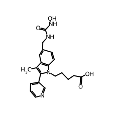 Cc1c(-c2cccnc2)n(CCCCC(=O)O)c2ccc(CNC(=O)NO)cc12